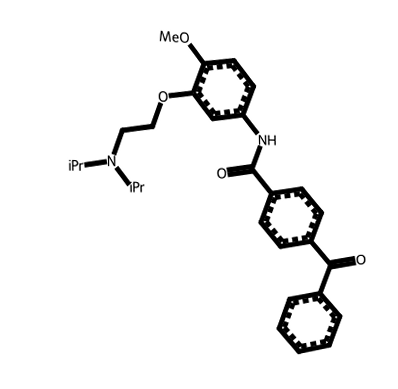 COc1ccc(NC(=O)c2ccc(C(=O)c3ccccc3)cc2)cc1OCCN(C(C)C)C(C)C